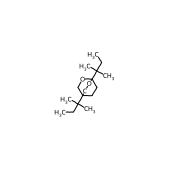 CCC(C)(C)C12CCC(C(C)(C)CC)(OC1)OC2